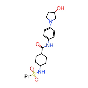 CC(C)S(=O)(=O)NC1CCC(C(=O)Nc2ccc(N3CCC(O)C3)cc2)CC1